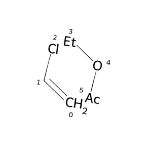 C=CCl.CCOC(C)=O